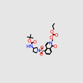 CCCOC(=O)OCn1ccc2c(S(=O)(=O)N3CCC(NC(=O)OC(C)(C)C)C3)cccc2c1=O